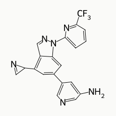 Nc1cncc(-c2cc(C3C=N3)c3cnn(-c4cccc(C(F)(F)F)n4)c3c2)c1